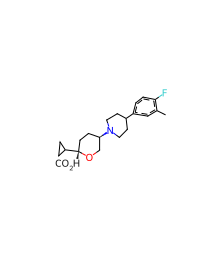 Cc1cc(C2CCN([C@@H]3CC[C@@](C(=O)O)(C4CC4)OC3)CC2)ccc1F